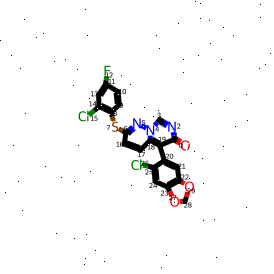 O=c1ncn2nc(Sc3ccc(F)cc3Cl)ccc2c1-c1cc2c(cc1Cl)OCO2